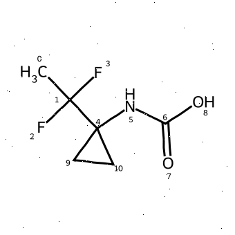 CC(F)(F)C1(NC(=O)O)CC1